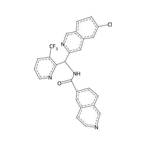 O=C(NC(c1cc2cc(Cl)ccc2cn1)c1ncccc1C(F)(F)F)c1ccc2cnccc2c1